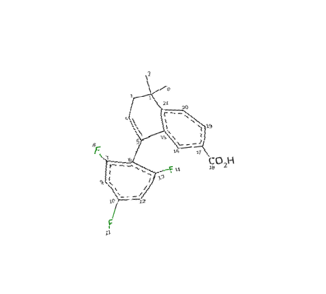 CC1(C)CC=C(c2c(F)cc(F)cc2F)c2cc(C(=O)O)ccc21